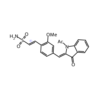 COc1cc(C=C2C(=O)c3ccccc3N2C(C)=O)ccc1/C=C/S(N)(=O)=O